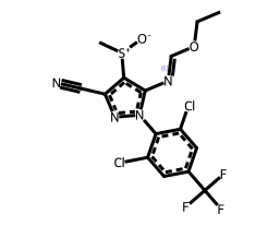 CCO/C=N/c1c([S+](C)[O-])c(C#N)nn1-c1c(Cl)cc(C(F)(F)F)cc1Cl